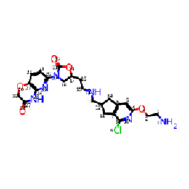 NCCOc1cc2c(c(Cl)n1)CC(CNCCC1CN(c3ccc4c(n3)NC(=O)CO4)C(=O)O1)C2